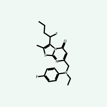 CCCC(F)c1c(C)sc2nc(CN(CC)c3ccc(F)cc3)cc(=O)n12